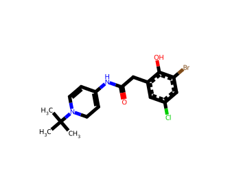 CC(C)(C)N1C=CC(NC(=O)Cc2cc(Cl)cc(Br)c2O)=CC1